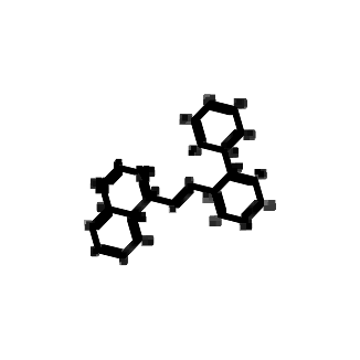 C(=Cc1ncnc2ccccc12)c1ccccc1-c1ccccc1